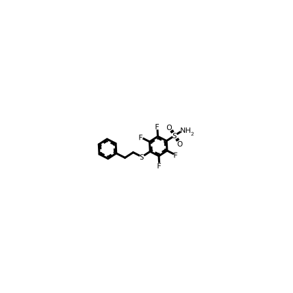 NS(=O)(=O)c1c(F)c(F)c(SCCc2ccccc2)c(F)c1F